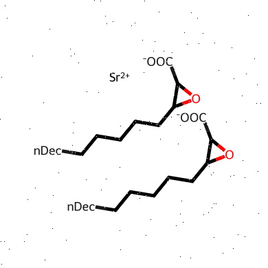 CCCCCCCCCCCCCCCC1OC1C(=O)[O-].CCCCCCCCCCCCCCCC1OC1C(=O)[O-].[Sr+2]